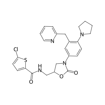 O=C(NCC1CN(c2ccc(N3CCCC3)c(Cc3ccccn3)c2)C(=O)O1)c1ccc(Cl)s1